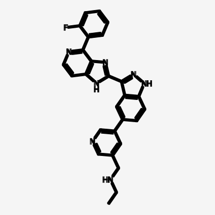 CCNCc1cncc(-c2ccc3[nH]nc(-c4nc5c(-c6ccccc6F)nccc5[nH]4)c3c2)c1